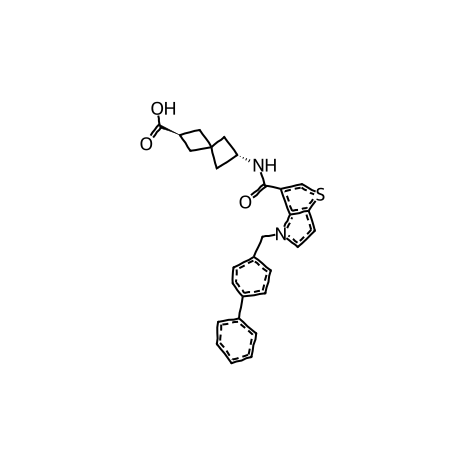 O=C(N[C@H]1CC2(C1)C[C@H](C(=O)O)C2)c1csc2ccn(Cc3ccc(-c4ccccc4)cc3)c12